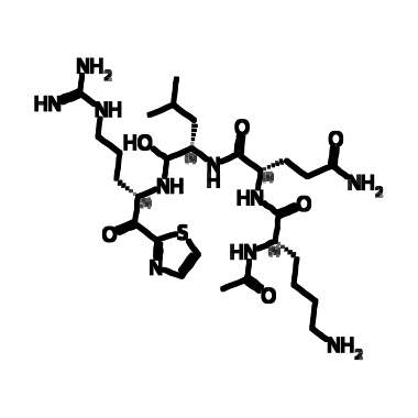 CC(=O)N[C@@H](CCCCN)C(=O)N[C@@H](CCC(N)=O)C(=O)N[C@@H](CC(C)C)C(O)N[C@@H](CCCNC(=N)N)C(=O)c1nccs1